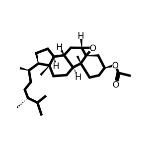 CC(=O)O[C@H]1CC[C@]2(C)[C@H]3CC[C@]4(C)[C@@H]([C@H](C)CC[C@@H](C)C(C)C)CC[C@H]4[C@@H]3C[C@@H]3O[C@@]32C1